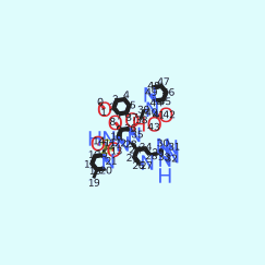 COc1ccccc1Oc1c(NS(=O)(=O)c2ccc(C)cn2)nc(-c2ccnc(-c3nnn[nH]3)c2)nc1OCCN(C(=O)O)c1ccccn1